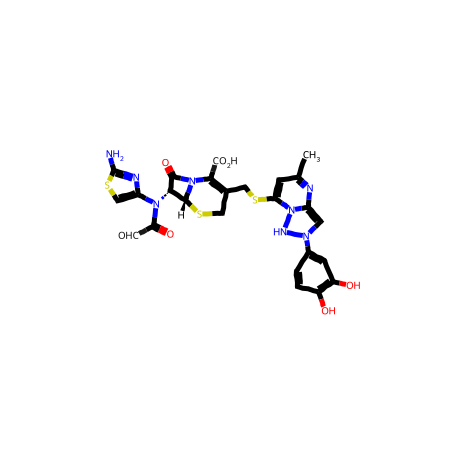 CC1=NC2=CN(c3ccc(O)c(O)c3)NN2C(SCC2=C(C(=O)O)N3C(=O)[C@@H](N(C(=O)C=O)c4csc(N)n4)[C@H]3SC2)=C1